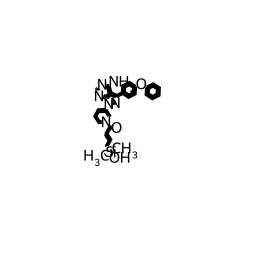 C[Si](C)(O)C/C=C/C(=O)N1CCC=C(n2nc(-c3ccc(Oc4ccccc4)cc3)c3c(N)ncnc32)C1